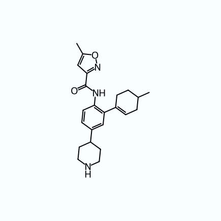 Cc1cc(C(=O)Nc2ccc(C3CCNCC3)cc2C2=CCC(C)CC2)no1